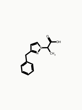 CC(C(=O)O)n1ccc(Cc2ccccc2)n1